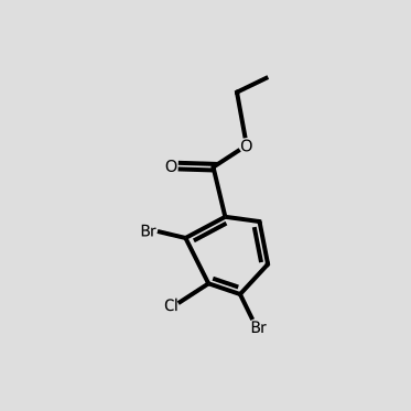 CCOC(=O)c1ccc(Br)c(Cl)c1Br